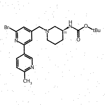 Cc1ccc(-c2cc(CN3CCC[C@H](NC(=O)OC(C)(C)C)C3)cc(Br)n2)cn1